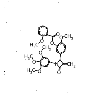 C=C1C(=O)N(c2cc(OC)c(OC)c(OC)c2)[C@H]1c1ccc(OC)c(OC(=O)c2ccccc2OC)c1